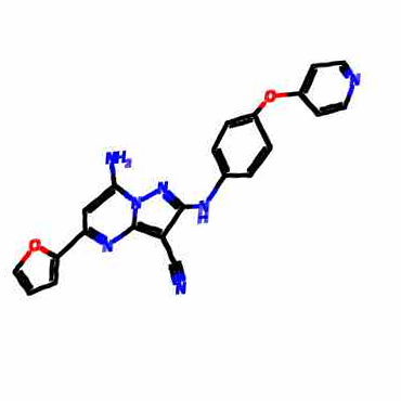 N#Cc1c(Nc2ccc(Oc3ccncc3)cc2)nn2c(N)cc(-c3ccco3)nc12